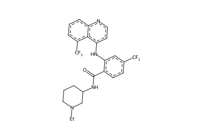 CCN1CCCC(NC(=O)c2ccc(C(F)(F)F)cc2Nc2ccnc3cccc(C(F)(F)F)c23)C1